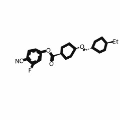 CC[C@H]1CC[C@H](CO[C@H]2CC[C@H](C(=O)Oc3ccc(C#N)c(F)c3)CC2)CC1